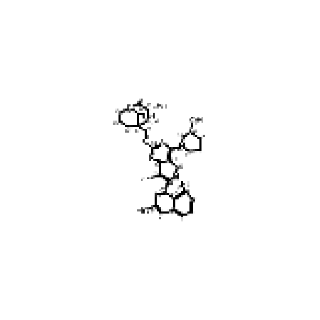 CCc1cccc2cc(O)cc(-c3ncc4c(N5CCC[C@H](O)C5)nc(OC[C@]56CCCN(C[C@H](F)C5)C6C)nc4c3F)c12